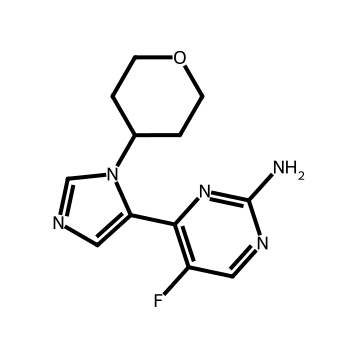 Nc1ncc(F)c(-c2cncn2C2CCOCC2)n1